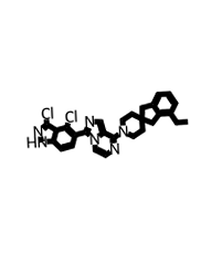 CCc1cccc2c1CC1(CCN(c3nccn4c(C5=C(Cl)C6C(Cl)=NNC6C=C5)ncc34)CC1)C2